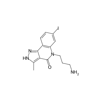 Cc1[nH]nc2c1c(=O)n(CCCN)c1cc(I)ccc21